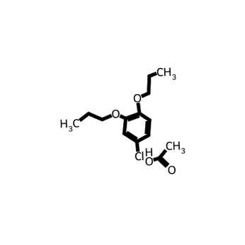 CC(=O)O.CCCOc1ccc(Cl)cc1OCCC